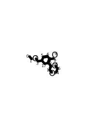 CCOCC1C=CC(C=O)=C(C2COCCO2)C1